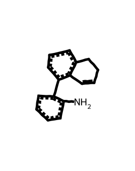 Nc1ccccc1-c1cccc2c1C=CCC2